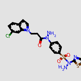 NN(C(=O)CCn1ccc2ccc(Cl)cc21)c1ccc(S(=O)(=O)N(N)c2nccs2)cc1